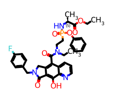 CCOC(=O)[C@H](C)NP(=O)(CCN(CC)C(=O)c1c2c(c(O)c3ncccc13)C(=O)N(Cc1ccc(F)cc1)C2)Oc1ccccc1